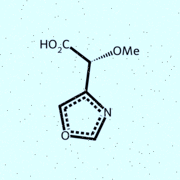 CO[C@@H](C(=O)O)c1cocn1